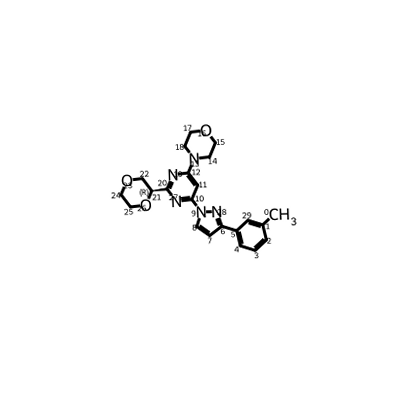 Cc1cccc(-c2ccn(-c3cc(N4CCOCC4)nc([C@@H]4COCCO4)n3)n2)c1